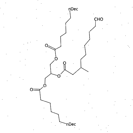 CCCCCCCCCCCCCCCC(=O)OCC(COC(=O)CCCCCCCCCCCCCCC)OC(=O)CC(C)CCCCCCC=O